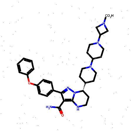 NC(=O)c1c(-c2ccc(Oc3ccccc3)cc2)nn2c1NCC[C@H]2C1CCN(C2CCN(C3CN(C(=O)O)C3)CC2)CC1